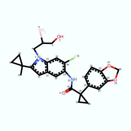 BC(CO)Cn1c(C2(C)CC2)cc2cc(NC(=O)C3(c4ccc5c(c4)OCO5)CC3)c(F)cc21